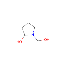 OCN1CCCC1O